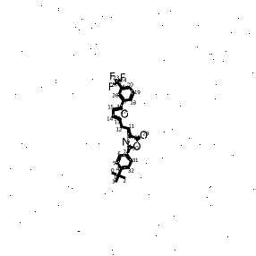 CC(C)(C)c1ccc(C2=N/C(=C\Cc3ccc(-c4cccc(C(F)(F)F)c4)o3)C(=O)O2)cc1